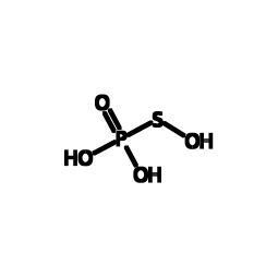 O=P(O)(O)SO